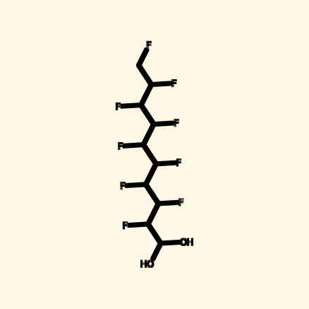 OC(O)C(F)C(F)C(F)C(F)C(F)C(F)C(F)C(F)CF